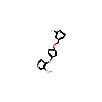 COc1cnccc1Sc1ccc(OCc2cccc(C)c2)cc1